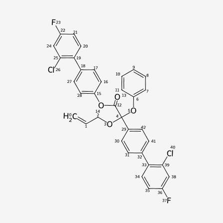 C=CCOC(Oc1ccccc1)(C(=O)Oc1ccc(-c2ccc(F)cc2Cl)cc1)c1ccc(-c2ccc(F)cc2Cl)cc1